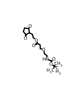 CC(C)(C)OC(=O)NCCOCCC(=O)OCCC1C(=O)CCC1=O